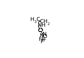 C=C(C)CNCc1ccc(-c2noc(C(F)(F)F)n2)cc1